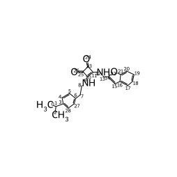 CC(C)c1ccc(CCNc2c(NCc3cc4ccccc4o3)c(=O)c2=O)cc1